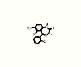 C[C@@H]1N=C(c2ccccc2Cl)c2c(ccc(N)c2Br)N(C)C1=O